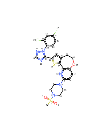 CS(=O)(=O)N1CCN(c2ccc3c(n2)-c2sc(-c4ncnn4-c4ccc(F)cc4F)cc2CCO3)CC1